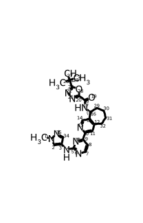 Cn1cc(Nc2nccc(-c3cc4c(cn3)[C@@H](NC(=O)c3nnc(C(C)(C)C)o3)CCCC4)n2)cn1